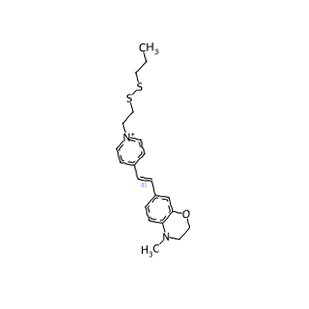 CCCSSCC[n+]1ccc(/C=C/c2ccc3c(c2)OCCN3C)cc1